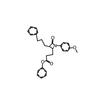 COc1ccc(N2C(=O)C(CCCc3ccccc3)C2CCC(=O)Oc2ccccc2)cc1